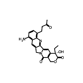 CC[C@@]1(O)C(=O)OCc2c1cc1n(c2=O)Cc2cc3c(N)ccc(CCC(C)=O)c3nc2-1